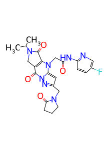 CC(C)N1Cc2c(n(CC(=O)Nc3ccc(F)cn3)c3cc(CN4CCCC4=O)nn3c2=O)C1=O